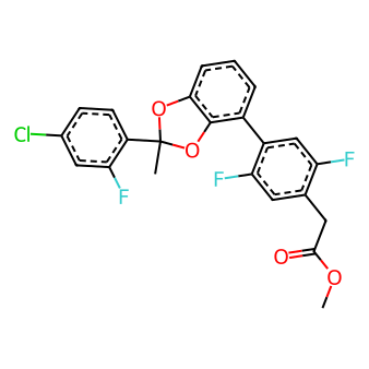 COC(=O)Cc1cc(F)c(-c2cccc3c2OC(C)(c2ccc(Cl)cc2F)O3)cc1F